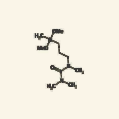 CO[Si](C)(CCCN(C)C(=O)N(C)C)OC